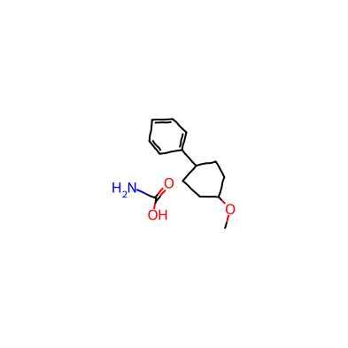 COC1CCC(c2ccccc2)CC1.NC(=O)O